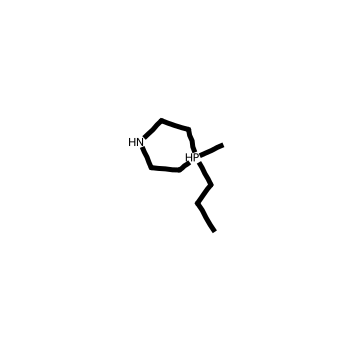 CCC[PH]1(C)CCNCC1